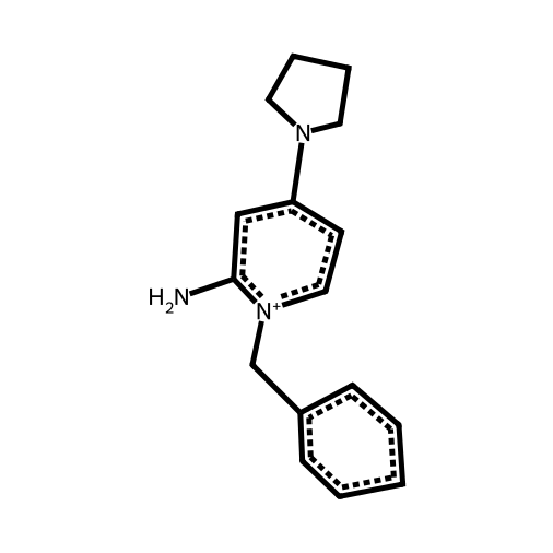 Nc1cc(N2CCCC2)cc[n+]1Cc1ccccc1